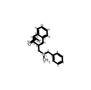 CN(Cc1ccccc1)CC1CC2C(=O)CC1c1ccccc12